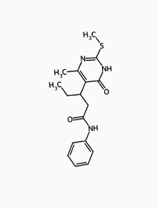 CCC(CC(=O)Nc1ccccc1)c1c(C)nc(SC)[nH]c1=O